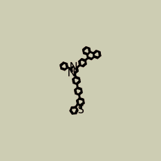 c1ccc(-c2nc(-c3ccc(-c4ccc(-c5ccc6sc7ccccc7c6c5)cc4)cc3)cc(-c3ccc(-c4cc5ccccc5c5ccccc45)cc3)n2)cc1